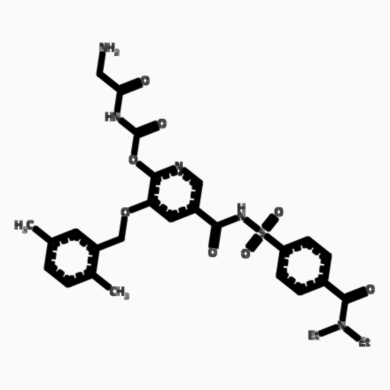 CCN(CC)C(=O)c1ccc(S(=O)(=O)NC(=O)c2cnc(OC(=O)NC(=O)CN)c(OCc3cc(C)ccc3C)c2)cc1